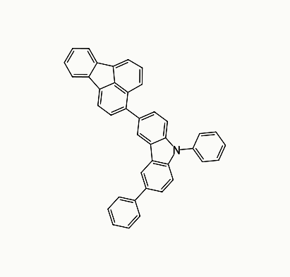 c1ccc(-c2ccc3c(c2)c2cc(-c4ccc5c6c(cccc46)-c4ccccc4-5)ccc2n3-c2ccccc2)cc1